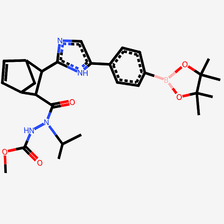 COC(=O)NN(C(=O)C1C2C=CC(C2)C1c1ncc(-c2ccc(B3OC(C)(C)C(C)(C)O3)cc2)[nH]1)C(C)C